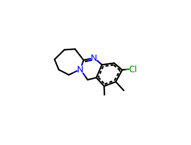 Cc1c(Cl)cc2c(c1C)CN1CCCCCC1=N2